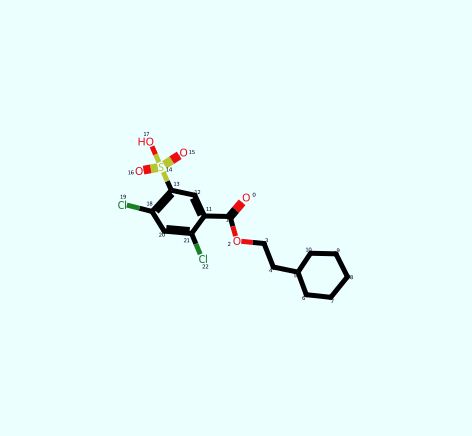 O=C(OCCC1CCCCC1)c1cc(S(=O)(=O)O)c(Cl)cc1Cl